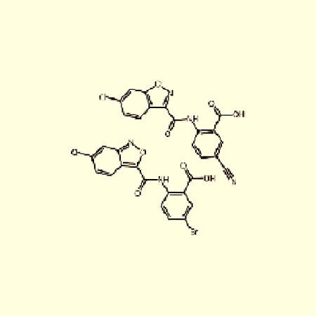 N#Cc1ccc(NC(=O)c2noc3cc(Cl)ccc23)c(C(=O)O)c1.O=C(O)c1cc(Br)ccc1NC(=O)c1onc2cc(Cl)ccc12